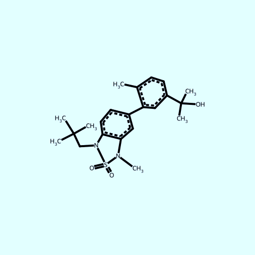 Cc1ccc(C(C)(C)O)cc1-c1ccc2c(c1)N(C)S(=O)(=O)N2CC(C)(C)C